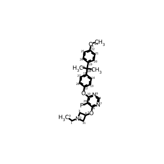 CCN1CC(Oc2ncnc(Oc3ccc(C(C)(C)c4ccc(OC)cc4)cc3)c2F)C1